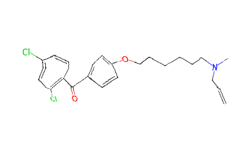 C=CCN(C)CCCCCCOc1ccc(C(=O)c2ccc(Cl)cc2Cl)cc1